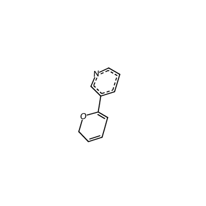 C1=CCOC(c2cccnc2)=C1